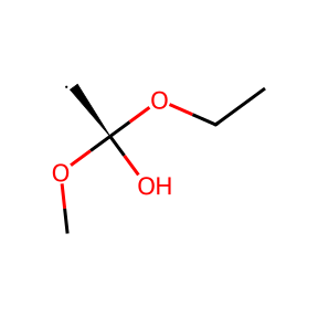 [CH2][C@@](O)(OC)OCC